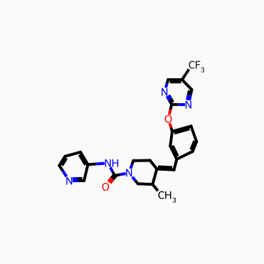 CC1CN(C(=O)Nc2cccnc2)CCC1=Cc1cccc(Oc2ncc(C(F)(F)F)cn2)c1